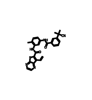 C=Cc1c(C(=O)Nc2cc(NC(=O)c3cccc(C(C)(C)C#N)c3)ccc2C)sc2nccnc12